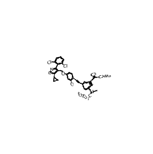 CCOC(=O)N(C)c1cc(C#Cc2ccc(OCc3c(-c4c(Cl)cccc4Cl)noc3C3CC3)cc2Cl)cc(C(=O)OC)c1